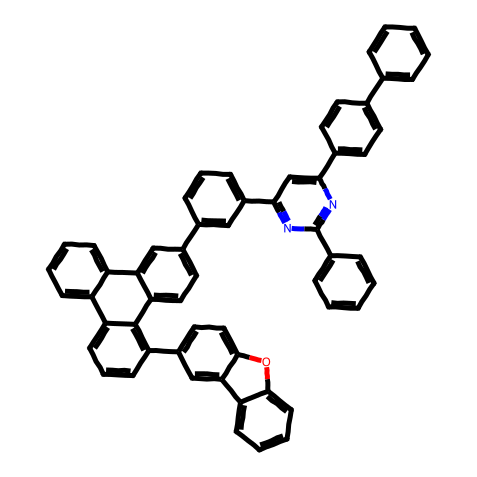 c1ccc(-c2ccc(-c3cc(-c4cccc(-c5ccc6c(c5)c5ccccc5c5cccc(-c7ccc8oc9ccccc9c8c7)c56)c4)nc(-c4ccccc4)n3)cc2)cc1